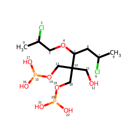 CC(Cl)COC(CC(C)Cl)C(CO)(COP(O)O)COP(O)O